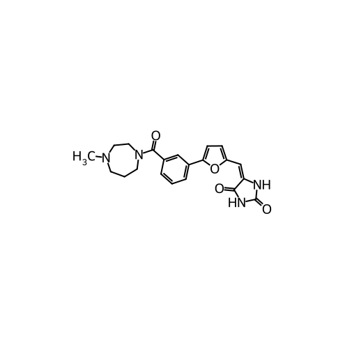 CN1CCCN(C(=O)c2cccc(-c3ccc(C=C4NC(=O)NC4=O)o3)c2)CC1